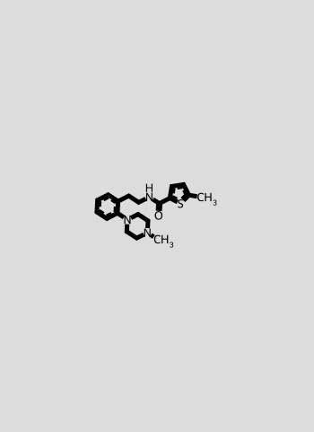 Cc1ccc(C(=O)NCCc2ccccc2N2CCN(C)CC2)s1